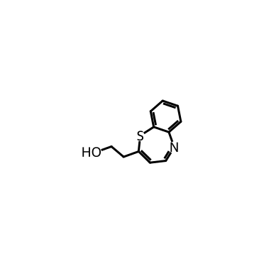 OCCC1=CC=Nc2ccccc2S1